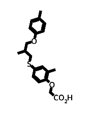 Cc1ccc(OCC(C)CSc2ccc(OCC(=O)O)c(C)c2)cc1